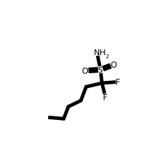 CCCCCC(F)(F)S(N)(=O)=O